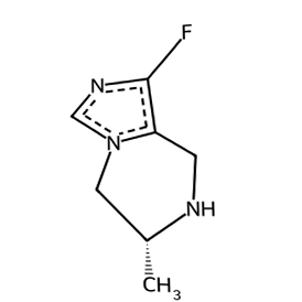 C[C@@H]1Cn2cnc(F)c2CN1